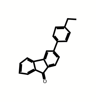 CCc1ccc(-c2ccc3c(c2)-c2ccccc2C3=O)cc1